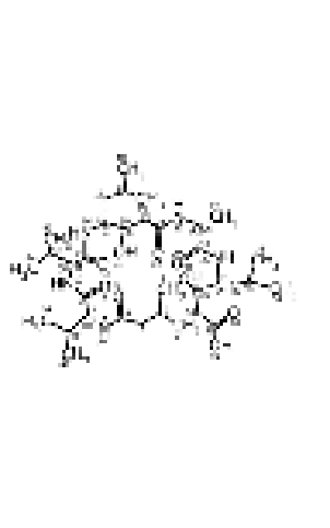 CC(C)CC(=O)N[C@@H](C(=O)N[C@H](C(=O)N[C@H](CC(C)C)[C@H](O)CC(=O)N[C@H](C)C(=O)N[C@H](CC(C)C)[C@H](O)CC(=O)O)C(C)C)C(C)C